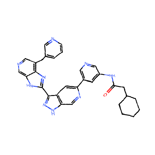 O=C(CC1CCCCC1)Nc1cncc(-c2cc3c(-c4nc5c(-c6cccnc6)cncc5[nH]4)n[nH]c3cn2)c1